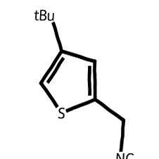 [C-]#[N+]Cc1cc(C(C)(C)C)cs1